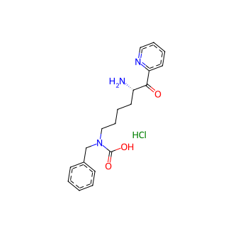 Cl.N[C@@H](CCCCN(Cc1ccccc1)C(=O)O)C(=O)c1ccccn1